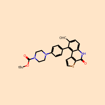 CC(C)(C)OC(=O)N1CCN(c2ccc(-c3c(C=O)ccc4[nH]c(=O)c5sccc5c34)cc2)CC1